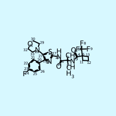 CC(C)(NC(=O)C1(C(F)(F)F)CCC1)C(=O)Nc1nc(-c2ccc(F)cc2)c(N2CCOCC2)s1